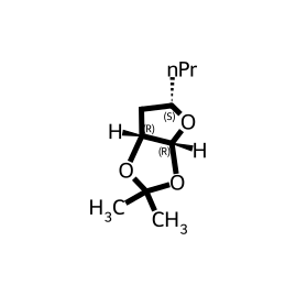 CCC[C@H]1C[C@H]2OC(C)(C)O[C@H]2O1